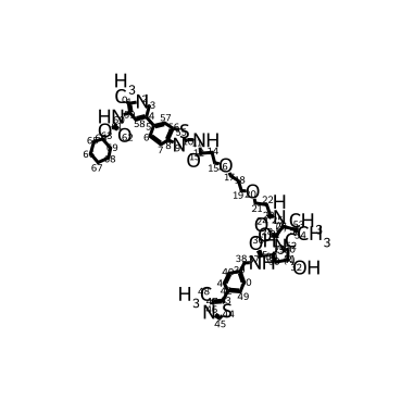 Cc1ncc(-c2ccc3nc(NC(=O)CCOCCCOCCC(=O)N[C@H](C(=O)N4C[C@H](O)C[C@H]4C(=O)NCc4ccc(-c5scnc5C)cc4)C(C)(C)C)sc3c2)cc1NC(=O)OC1CCCCC1